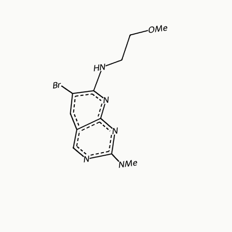 CNc1ncc2cc(Br)c(NCCOC)nc2n1